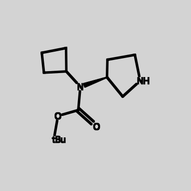 CC(C)(C)OC(=O)N(C1CCC1)[C@H]1CCNC1